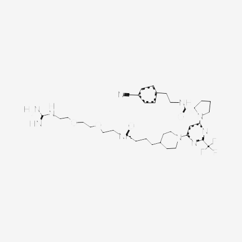 N#Cc1ccc(CCNC(=O)[C@@H]2CCCN2c2cc(N3CCC(CCCC(=O)NCCOCCOCCNC(=N)N)CC3)nc(C(F)(F)F)n2)cc1